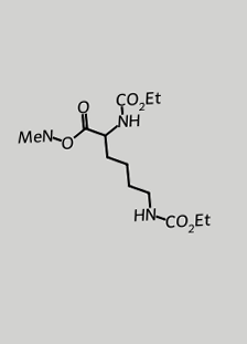 CCOC(=O)NCCCCC(NC(=O)OCC)C(=O)ONC